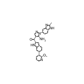 COc1ncccc1-c1ccc2cc(C(=O)c3cnn(-c4ccc5[nH]c(C)nc5c4)c3N)[nH]c2c1